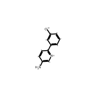 Nc1ccc(-c2cccc(Cl)c2)nc1